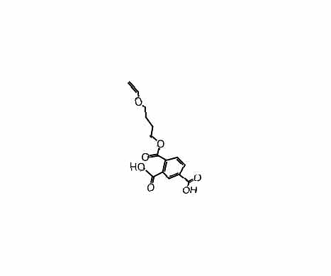 C=COCCCCOC(=O)c1ccc(C(=O)O)cc1C(=O)O